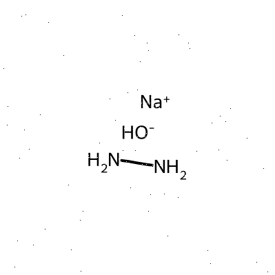 NN.[Na+].[OH-]